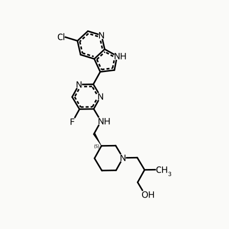 CC(CO)CN1CCC[C@@H](CNc2nc(-c3c[nH]c4ncc(Cl)cc34)ncc2F)C1